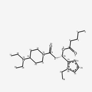 CCCCC(=O)O[C@@H](CC(=O)N1CCC(N(CC)CC)CC1)c1nccn1CC